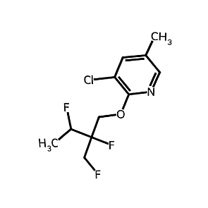 Cc1cnc(OCC(F)(CF)C(C)F)c(Cl)c1